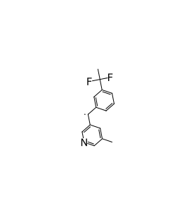 Cc1cncc([CH]c2cccc(C(C)(F)F)c2)c1